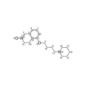 [O-][N+]1=Cc2cccc(OCCCCN3CCCCC3)c2CC1